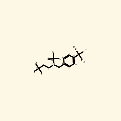 CC(C)(C)CCN(Cc1ccc(C(F)(F)F)cc1)C(C)(C)C